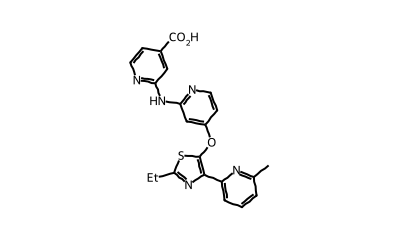 CCc1nc(-c2cccc(C)n2)c(Oc2ccnc(Nc3cc(C(=O)O)ccn3)c2)s1